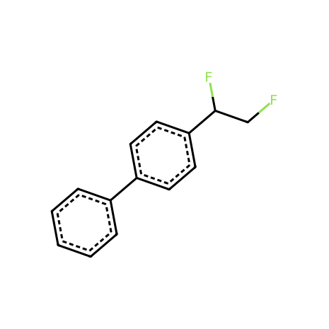 FCC(F)c1ccc(-c2ccccc2)cc1